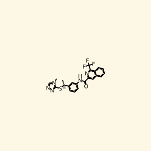 C[C@H](Sc1nncn1C)c1cccc(NC(=O)c2cc3ccccc3c(C(F)(F)F)n2)c1